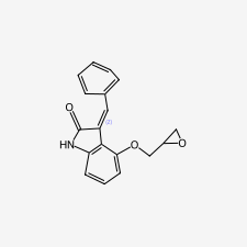 O=C1Nc2cccc(OCC3CO3)c2/C1=C/c1ccccc1